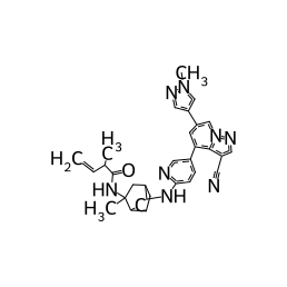 C=CC(C)C(=O)NC1(C)CC2CCC1CC2Nc1ccc(-c2cc(-c3cnn(C)c3)cn3ncc(C#N)c23)cn1